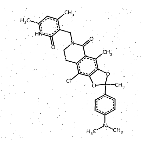 Cc1cc(C)c(CN2CCc3c(Cl)c4c(c(C)c3C2=O)OC(C)(c2ccc(N(C)C)cc2)O4)c(=O)[nH]1